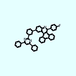 Fc1ccc(-c2nc3ccc(-c4cccc(-c5nc(-c6ccccc6)cc(-c6ccccc6)n5)c4)cc3c3c4ccccc4c4ccccc4c23)cc1